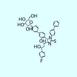 CN1C(=S)N(c2ccc(-c3ccccc3)cc2)[C@H](c2ccc(-c3ccc([C@@H]4O[C@H](CO)[C@@H](O)[C@H](O)[C@H]4O)cc3)cc2O)[C@@H]1CC[C@H](O)c1ccc(F)cc1